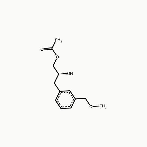 COCc1cccc(C[C@H](O)COC(C)=O)c1